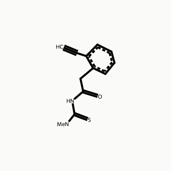 C#Cc1ccccc1CC(=O)NC(=S)NC